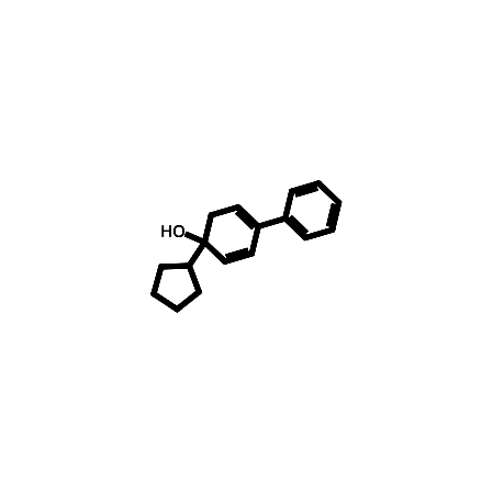 OC1(C2CCCC2)C=CC(c2ccccc2)=CC1